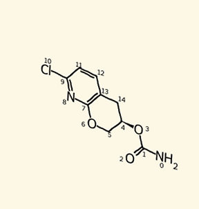 NC(=O)O[C@H]1COc2nc(Cl)ccc2C1